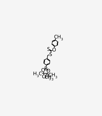 Cc1ccc(OC(=S)SCc2ccc(B3OC(C)(C)C(C)(C)O3)cc2)cc1